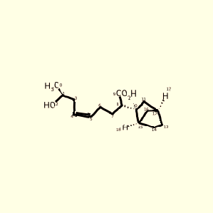 C[C@H](O)C/C=C\CCC(C(=O)O)[C@@H]1C[C@H]2CC[C@@H]1C2